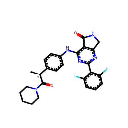 C[C@H](C(=O)N1CCCCC1)c1ccc(Nc2nc(-c3c(F)cccc3F)nc3c2C(=O)NC3)cc1